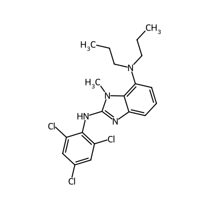 CCCN(CCC)c1cccc2nc(Nc3c(Cl)cc(Cl)cc3Cl)n(C)c12